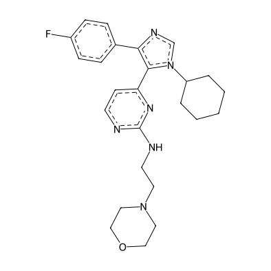 Fc1ccc(-c2ncn(C3CCCCC3)c2-c2ccnc(NCCN3CCOCC3)n2)cc1